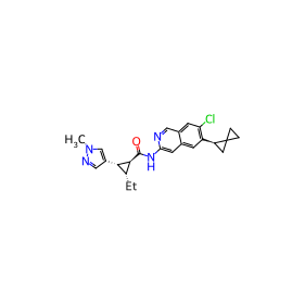 CC[C@H]1[C@H](C(=O)Nc2cc3cc([C@@H]4CC45CC5)c(Cl)cc3cn2)[C@H]1c1cnn(C)c1